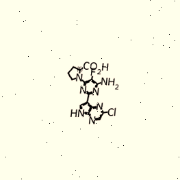 Nc1nc(-c2c[nH]c3ncc(Cl)nc23)nc(N2CCC[C@H]2C(=O)O)c1F